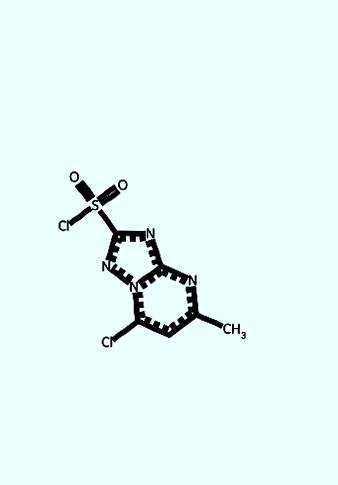 Cc1cc(Cl)n2nc(S(=O)(=O)Cl)nc2n1